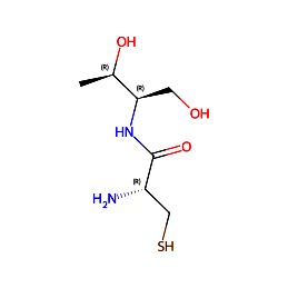 C[C@@H](O)[C@@H](CO)NC(=O)[C@@H](N)CS